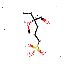 CCC(C=O)(CCCS(=O)(=O)O)OC